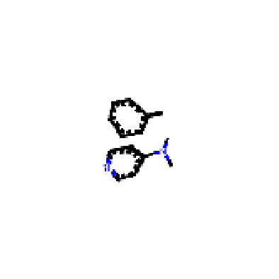 CN(C)c1ccncc1.Cc1ccccc1